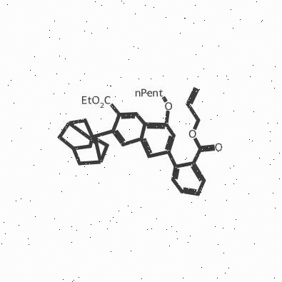 C=CCOC(=O)c1ccccc1-c1cc(OCCCCC)c2cc(C(=O)OCC)c(C34CC5CC(CC(C5)C3)C4)cc2c1